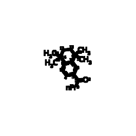 CCCC(=O)c1ccc2c(c1)C(C)(C)CCC2(C)C